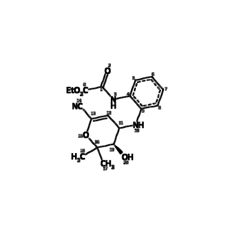 CCOC(=O)C(=O)Nc1ccccc1NC1C=C(C#N)OC(C)(C)[C@@H]1O